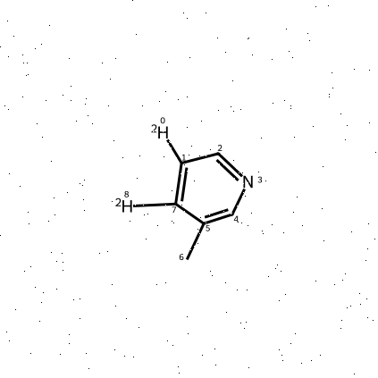 [2H]c1cncc(C)c1[2H]